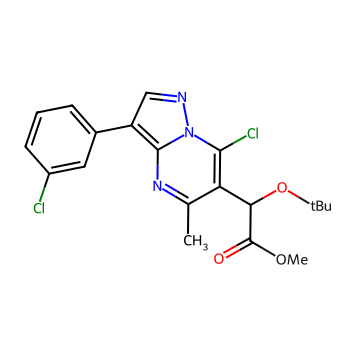 COC(=O)C(OC(C)(C)C)c1c(C)nc2c(-c3cccc(Cl)c3)cnn2c1Cl